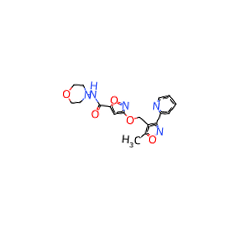 Cc1onc(-c2ccccn2)c1COc1cc(C(=O)NN2CCOCC2)on1